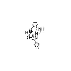 Cn1c(N2CCNC(c3ccccc3C#N)C2)nc(-c2ccncc2)cc1=O